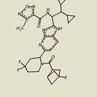 Cc1nonc1C(=O)NC(c1nc2nc(C3CC(F)(F)CCN3C(=O)C3CC4(F)CC3C4)ccc2[nH]1)C(C1CC1)C1CC1